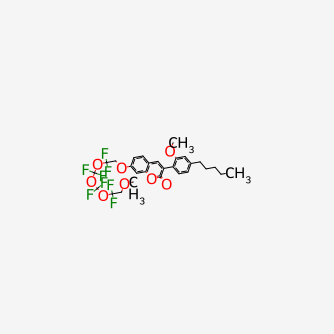 CCCCCc1ccc(-c2cc3ccc(OCC(F)(F)OC(F)(F)OC(F)(F)OC(F)(F)COC)cc3oc2=O)c(OC)c1